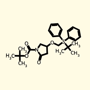 CC(C)(C)OC(=O)N1CC(OCS(c2ccccc2)(c2ccccc2)C(C)(C)C)CC1=O